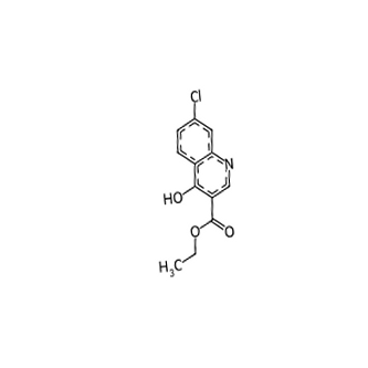 CCOC(=O)c1cnc2cc(Cl)ccc2c1O